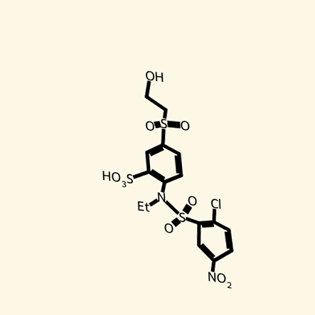 CCN(c1ccc(S(=O)(=O)CCO)cc1S(=O)(=O)O)S(=O)(=O)c1cc([N+](=O)[O-])ccc1Cl